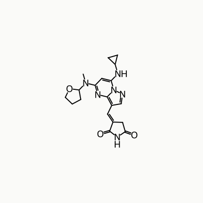 CN(c1cc(NC2CC2)n2ncc(C=C3CC(=O)NC3=O)c2n1)C1CCCO1